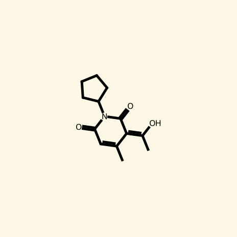 CC1=CC(=O)N(C2CCCC2)C(=O)/C1=C(/C)O